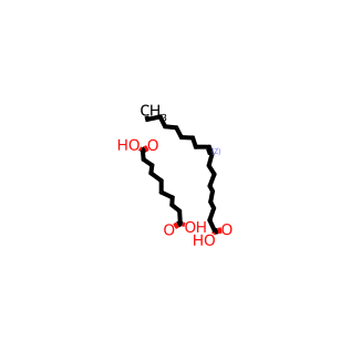 CCCCCCCC/C=C\CCCCCCCC(=O)O.O=C(O)CCCCCCCCC(=O)O